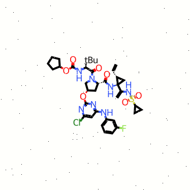 C=C[C@@H]1C[C@]1(NC(=O)[C@@H]1C[C@@H](Oc2nc(Cl)cc(Nc3cccc(F)c3)n2)CN1C(=O)[C@@H](NC(=O)OC1CCCC1)C(C)(C)C)C(=C)NS(=O)(=O)C1CC1